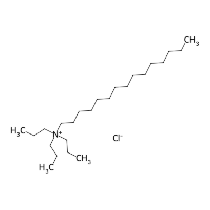 CCCCCCCCCCCCCCC[N+](CCC)(CCC)CCC.[Cl-]